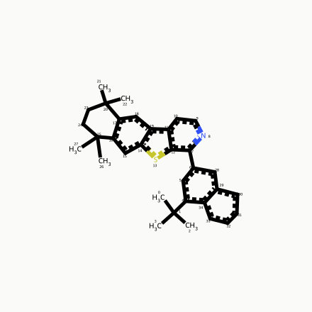 CC(C)(C)c1cc(-c2nccc3c2sc2cc4c(cc23)C(C)(C)CCC4(C)C)cc2ccccc12